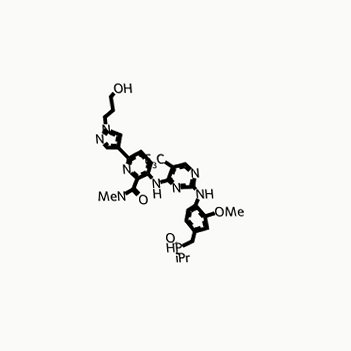 CNC(=O)c1nc(-c2cnn(CCCO)c2)ccc1Nc1nc(Nc2ccc(C[PH](=O)C(C)C)cc2OC)ncc1C(F)(F)F